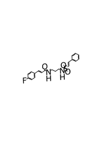 O=C(C=Cc1ccc(F)cc1)NCCCNS(=O)(=O)C=Cc1ccccc1